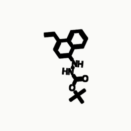 C=Cc1ccc(NNC(=O)OC(C)(C)C)c2ccccc12